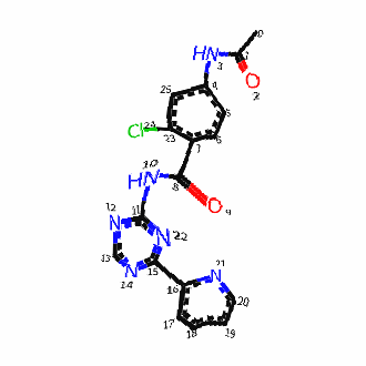 CC(=O)Nc1ccc(C(=O)Nc2ncnc(-c3ccccn3)n2)c(Cl)c1